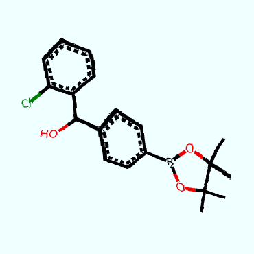 CC1(C)OB(c2ccc(C(O)c3ccccc3Cl)cc2)OC1(C)C